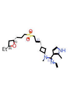 C=C/N=C(\c1cc[nH]c1C)N(C)[C@H]1C[C@@H](/C=C/CS(=O)(=O)CCC[C@H]2C[C@@H](CC)O2)C1